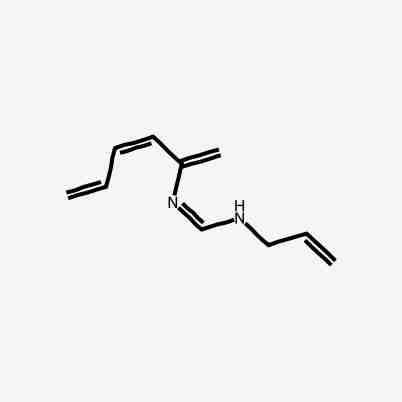 C=C/C=C\C(=C)/N=C\NCC=C